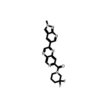 Cn1cc2cc(-c3cnc4cnc(C(=O)N5CCCC(F)(F)C5)cc4n3)cnc2n1